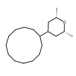 C[C@@H]1CN(C2CCCCCCCCCCC2)C[C@H](C)O1